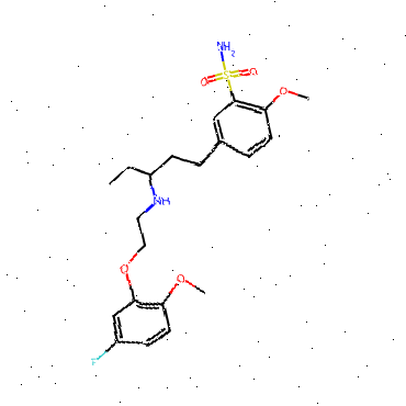 CCC(CCc1ccc(OC)c(S(N)(=O)=O)c1)NCCOc1cc(F)ccc1OC